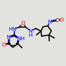 Cc1cc(=O)nc(NC2OC2NCC2(C)CC(N=C=O)CC(C)(C)C2)[nH]1